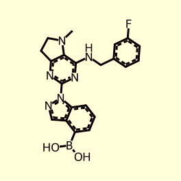 CN1CCc2nc(-n3ncc4c(B(O)O)cccc43)nc(NCc3cccc(F)c3)c21